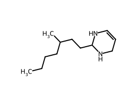 CCCCC(C)CCC1NC=CCN1